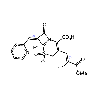 COC(=O)/C(Cl)=C/C1=C(C(=O)O)N2C(=O)/C(=C/c3ccccn3)[C@@H]2S(=O)(=O)C1